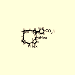 CCCCCCc1c2nc(c(CCCCCC)c3[nH]c(cc4nc(cc5ccc1[nH]5)C=C4)cc3-c1ccc(C(=O)O)cc1)C=C2